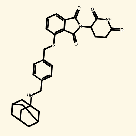 O=C1CCC(N2C(=O)c3cccc(SCc4ccc(CNC56CC7CC(CC(C7)C5)C6)cc4)c3C2=O)C(=O)N1